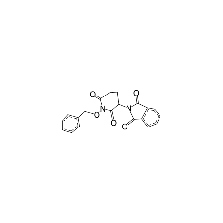 O=C1CCC(N2C(=O)c3ccccc3C2=O)C(=O)N1OCc1ccccc1